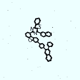 c1ccc(-c2cc3ccccc3cc2-c2ccc(-c3ccc4c(c3)oc3cccc(-c5nc(-c6ccc7ccccc7c6)c6sc7ccccc7c6n5)c34)cc2)cc1